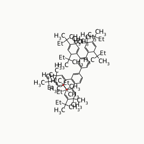 CCC(C)(C)C1=CC(C(C)(C)CC)C(c2ccc(-c3ccc(C4=CC(C)(C)C(C(C)(C)CC)=CC4C(C)(C)CC)c(C4=CC(C)(C)C(C(C)(C)CC)=CC4C(C)(C)CC)c3)cc2C2=CC(C)(C)C(C(C)(C)CC)=CC2C(C)(C)CC)=CC1(C)C